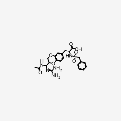 CC(=O)NC(N=C(N)N)C1COc2cc(C[C@H](NS(=O)(=O)Cc3ccccc3)C(=O)O)ccc2O1